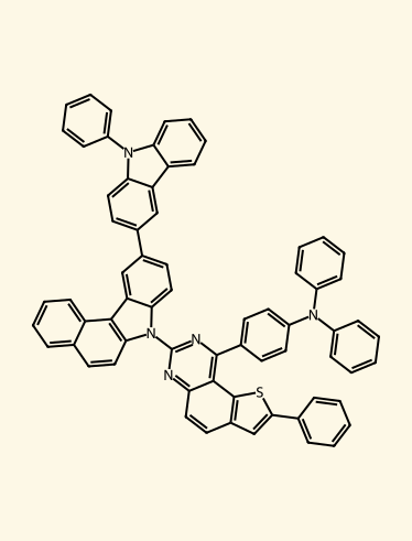 c1ccc(-c2cc3ccc4nc(-n5c6ccc(-c7ccc8c(c7)c7ccccc7n8-c7ccccc7)cc6c6c7ccccc7ccc65)nc(-c5ccc(N(c6ccccc6)c6ccccc6)cc5)c4c3s2)cc1